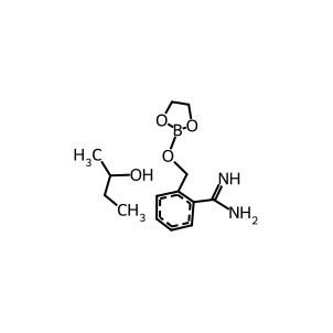 CCC(C)O.N=C(N)c1ccccc1COB1OCCO1